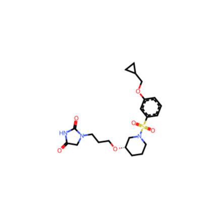 O=C1CN(CCCO[C@H]2CCCN(S(=O)(=O)c3cccc(OCC4CC4)c3)C2)C(=O)N1